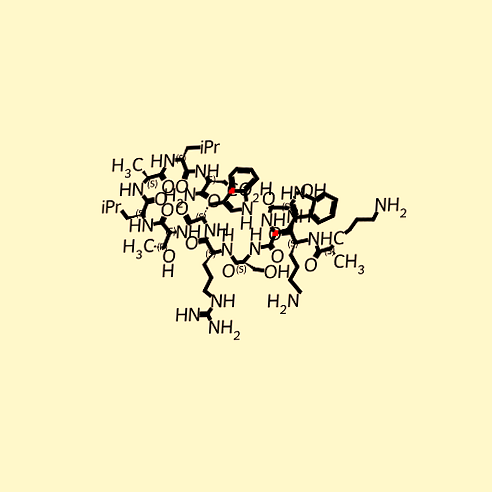 CC(C)C[C@H](NC(=O)[C@H](C)NC(=O)[C@H](CC(C)C)NC(=O)[C@@H](NC(=O)[C@H](Cc1c[nH]c2ccccc12)NC(=O)[C@H](CCCNC(=N)N)NC(=O)[C@H](CO)NC(=O)C(Cc1c[nH]c2ccccc12)NC(=O)[C@H](CO)NC(=O)[C@H](CCCCN)NC(=O)[C@@H](C)CCCCN)[C@@H](C)O)C(=O)N[C@@H](CC(=O)O)C(N)=O